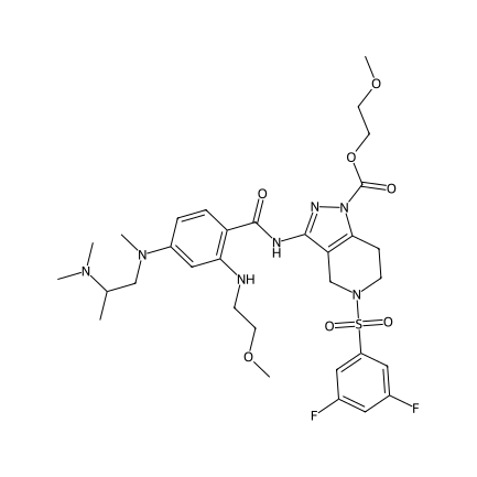 COCCNc1cc(N(C)CC(C)N(C)C)ccc1C(=O)Nc1nn(C(=O)OCCOC)c2c1CN(S(=O)(=O)c1cc(F)cc(F)c1)CC2